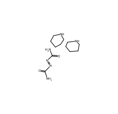 C1CCNCC1.C1CCNCC1.NC(=O)N=NC(N)=O